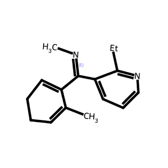 CCc1ncccc1/C(=N/C)C1=CCCC=C1C